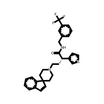 O=C(NCc1cccc(C(F)(F)F)c1)[C@@H](CCN1CCC2(C=Cc3ccccc32)CC1)c1ccsc1